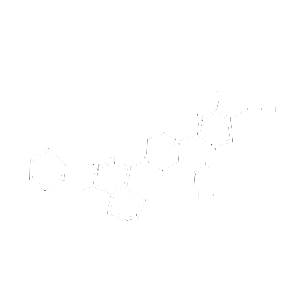 CCOC(=O)c1cnc(N2CCN(c3nnc(Cc4ccccc4)c4ccccc34)C[C@H]2C(=O)C=O)nc1C(F)(F)F